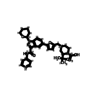 CC(C)(C)C1CN(Cc2ccc(-c3ccc4c(c3)c(C(=O)Nc3ccncc3)nn4C3CCCCO3)o2)CCN1C(=O)O